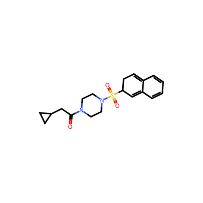 O=C(CC1CC1)N1CCN(S(=O)(=O)C2C=c3ccccc3=CC2)CC1